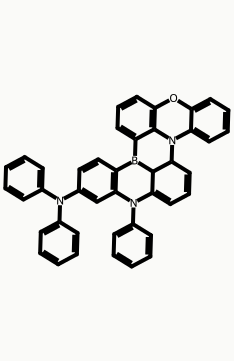 C1=CC2C3B(c4ccc(N(c5ccccc5)c5ccccc5)cc4N(c4ccccc4)C3=C1)c1cccc3c1N2c1ccccc1O3